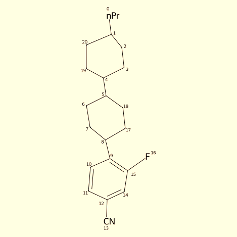 CCCC1CCC(C2CCC(c3ccc(C#N)cc3F)CC2)CC1